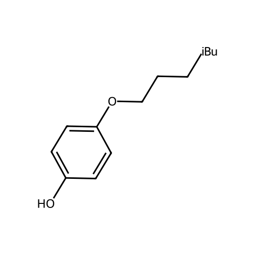 CCC(C)CCCOc1ccc(O)cc1